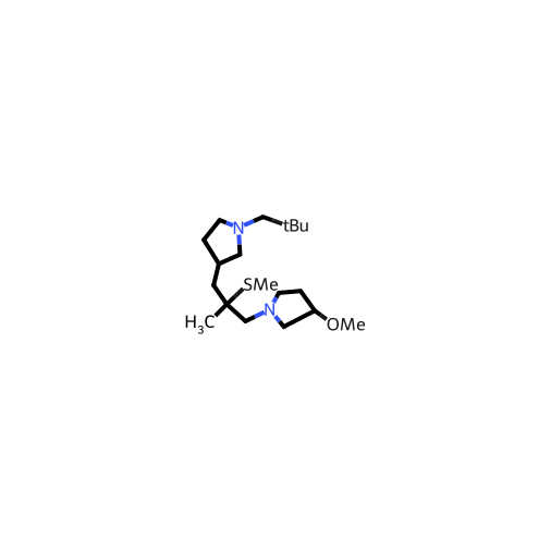 COC1CCN(CC(C)(CC2CCN(CC(C)(C)C)C2)SC)C1